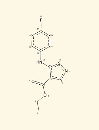 CCOC(=O)c1nnsc1Nc1ccc(F)cc1